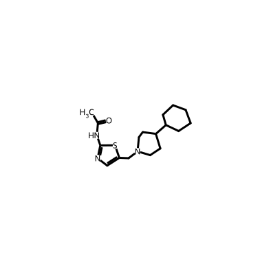 CC(=O)Nc1ncc(CN2CCC(C3CCCCC3)CC2)s1